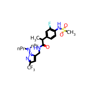 CCCN(CCC)n1nc(C(F)(F)F)cc1CNC(=O)C(C)c1ccc(NS(C)(=O)=O)c(F)c1